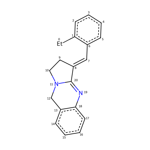 CCc1ccccc1C=C1CCN2Cc3ccccc3N=C12